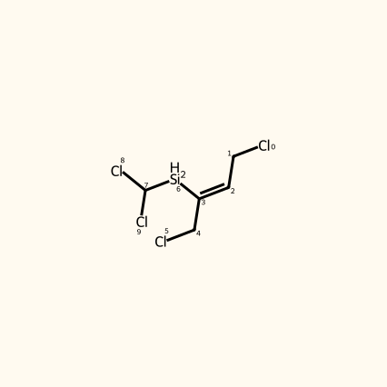 ClCC=C(CCl)[SiH2]C(Cl)Cl